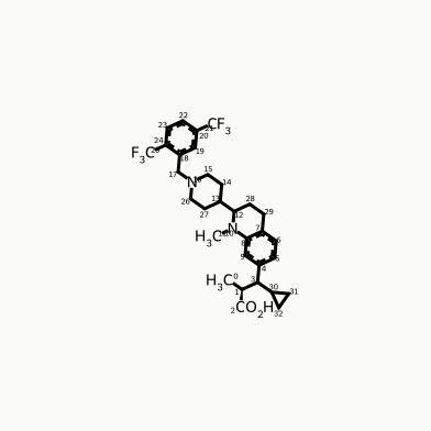 C[C@H](C(=O)O)C(c1ccc2c(c1)N(C)C(C1CCN(Cc3cc(C(F)(F)F)ccc3C(F)(F)F)CC1)CC2)C1CC1